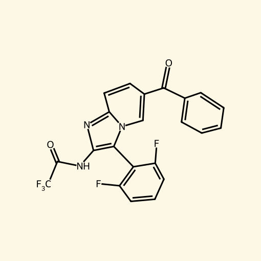 O=C(c1ccccc1)c1ccc2nc(NC(=O)C(F)(F)F)c(-c3c(F)cccc3F)n2c1